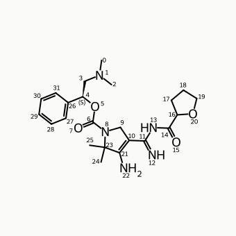 CN(C)C[C@@H](OC(=O)N1CC(C(=N)NC(=O)C2CCCO2)=C(N)C1(C)C)c1ccccc1